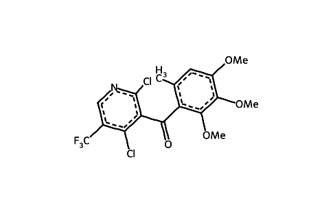 COc1cc(C)c(C(=O)c2c(Cl)ncc(C(F)(F)F)c2Cl)c(OC)c1OC